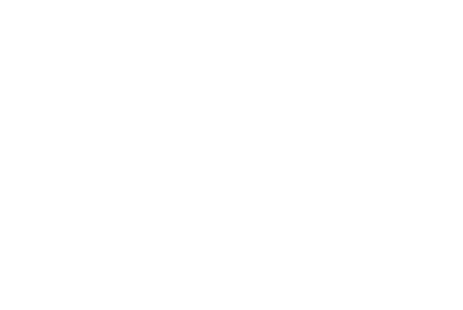 Cc1c(S(=O)(=O)O)cc(C(=O)Cl)c(Cl)c1COCC(F)(F)F